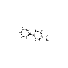 C=Cc1ccc(-c2ccccc2)nc1